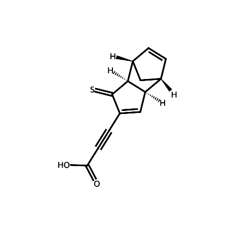 O=C(O)C#CC1=C[C@H]2[C@@H](C1=S)[C@@H]1C=C[C@H]2C1